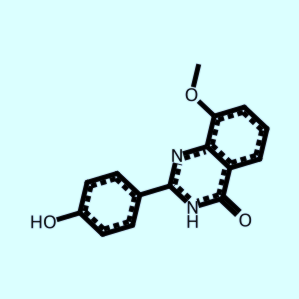 COc1cccc2c(=O)[nH]c(-c3ccc(O)cc3)nc12